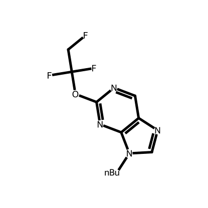 CCCCn1cnc2cnc(OC(F)(F)CF)nc21